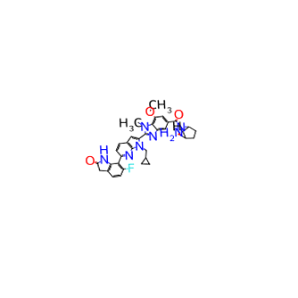 COc1cc(C(=O)N2CC3CCC2[C@@H]3N)cc2nc(-c3cc4ccc(-c5c(F)ccc6c5NC(=O)C6)nc4n3CC3CC3)n(C)c12